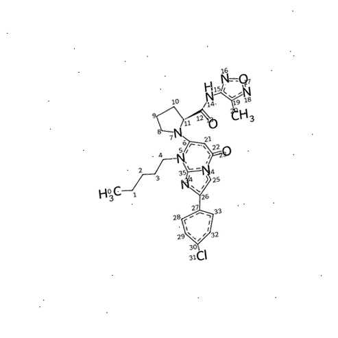 CCCCCn1c(N2CCC[C@H]2C(=O)Nc2nonc2C)cc(=O)n2cc(-c3ccc(Cl)cc3)nc12